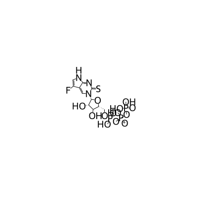 O=P(O)(O)OP(=O)(O)OP(=O)(O)OC[C@H]1O[C@@H](n2cc3c(F)c[nH]c3nc2=S)[C@@H](O)C1O